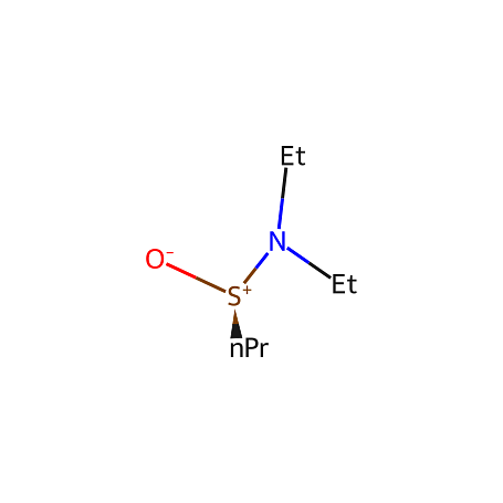 CCC[S@@+]([O-])N(CC)CC